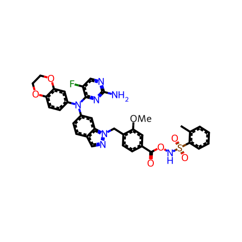 COc1cc(C(=O)ONS(=O)(=O)c2ccccc2C)ccc1Cn1ncc2ccc(N(c3ccc4c(c3)OCCO4)c3nc(N)ncc3F)cc21